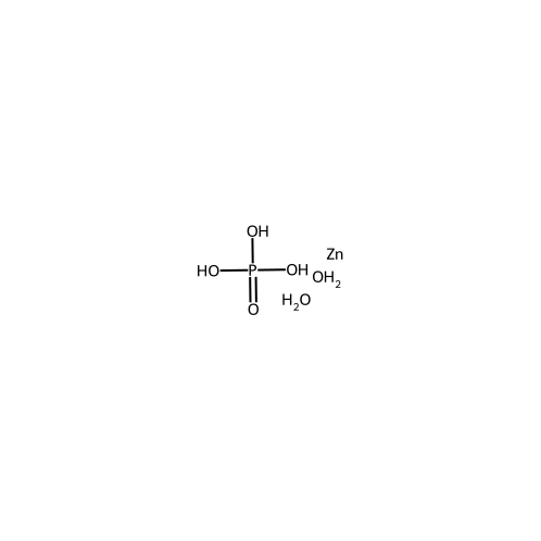 O.O.O=P(O)(O)O.[Zn]